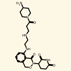 NC1CCN(C(=O)CCNCCNc2cccc3c2C(=O)N(C2CCC(=O)NC2=O)OC3)CC1